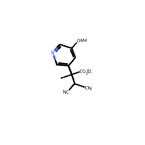 CCOC(=O)C(C)(c1cncc(OC)c1)C(C#N)C#N